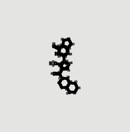 Cc1c(C(=O)N2CCC3OCCCC3C2)cnn1-c1nc2c(c(=O)[nH]1)CCC2